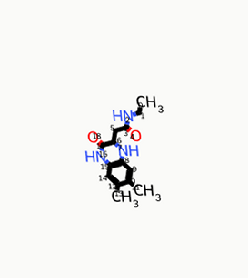 CCNC(=O)CC1Nc2cc(C)c(C)cc2NC1=O